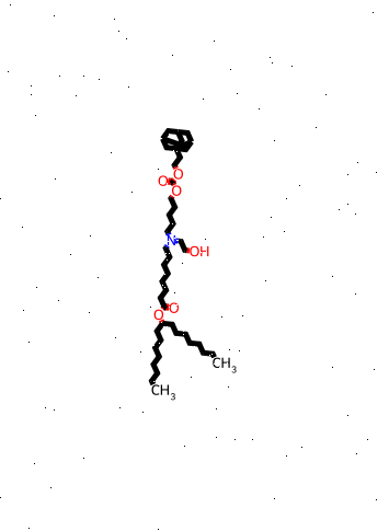 CCCCCCCCC(CCCCCCCC)OC(=O)CCCCCCCN(CCO)CCCCCOC(=O)OCCC12CC3CC(CC(C3)C1)C2